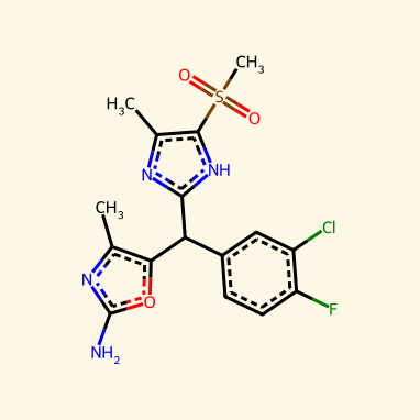 Cc1nc(C(c2ccc(F)c(Cl)c2)c2oc(N)nc2C)[nH]c1S(C)(=O)=O